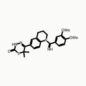 COc1ccc(C(=N)N2CCCc3cc(C4=NNC(=O)SC4(C)C)ccc32)cc1OC